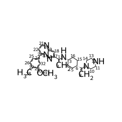 C=C(N[C@H]1CC[C@@H](C(=C)N2CCNCC2)CC1)c1cc2nccc(-c3ccc(C)c(OC)c3)n2n1